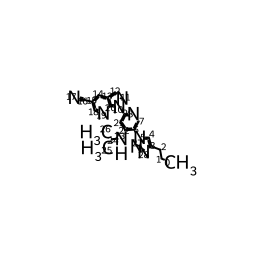 CCCc1cn(-c2cnc(-n3ncc4cc(C#N)cnc43)cc2NC(C)C)nn1